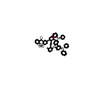 Cc1cccc(-c2ccc3c(c2)C(=O)c2ccccc2S3(=O)=O)c1C#Cc1c(C)cccc1-n1c2ccc(N(c3ccccc3)c3ccccc3)cc2c2cc(N(c3ccccc3)c3ccccc3)ccc21